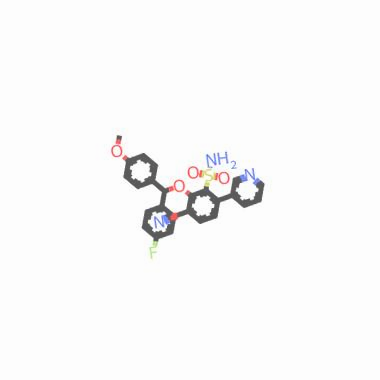 COc1ccc(C(Oc2c(C#N)ccc(-c3cccnc3)c2S(N)(=O)=O)c2ccc(F)cc2)cc1